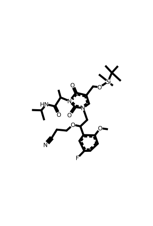 COc1ccc(F)cc1C(Cn1cc(CO[Si](C)(C)C(C)(C)C)c(=O)n(C(C)C(=O)NC(C)C)c1=O)OCCC#N